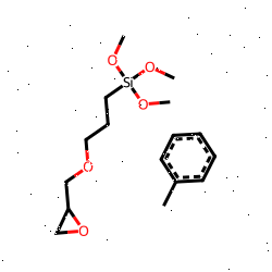 CO[Si](CCCOCC1CO1)(OC)OC.Cc1ccccc1